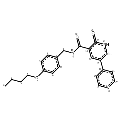 CCCCOc1ccc(CNC(=O)c2cc(-c3ccncc3)n[nH]c2=O)cc1